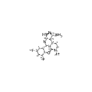 CCn1ccc2c(c(-c3cc(F)cc(F)c3)nc3[nH]nc(N)c32)c1=O